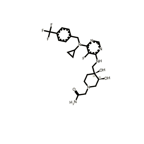 NC(=O)CN1CC[C@](O)(CNc2ncnc(N(Cc3ccc(C(F)(F)F)cc3)C3CC3)c2F)[C@@H](O)C1